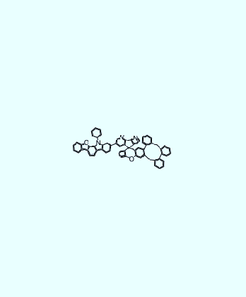 c1ccc(-n2c3cc(-c4cnc5c(c4)C4(c6ccccc6Oc6cc7c(cc64)-c4ccccc4Cc4ccccc4-c4ccccc4C7)c4cccnc4-5)ccc3c3ccc4c5ccccc5oc4c32)cc1